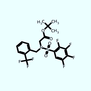 CC(C)(C)OC(=O)CN(Cc1ccccc1C(F)(F)F)S(=O)(=O)c1cc(F)c(F)c(F)c1F